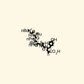 CCCCN(C)CC(=O)N[C@H](C(=O)N(CCC)[C@H](C[C@@H](OCCC)c1nc(C(=O)N[C@@H](Cc2ccc(O)cc2)C[C@H](C)C(=O)O)cs1)C(C)C)[C@@H](C)CC